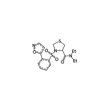 CCN(CC)C(=O)C1CSCN1S(=O)(=O)c1ccccc1-c1ccno1